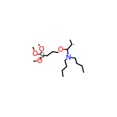 C[CH]C(OCCC[Si](OC)(OC)OC)N(CCCC)CCCC